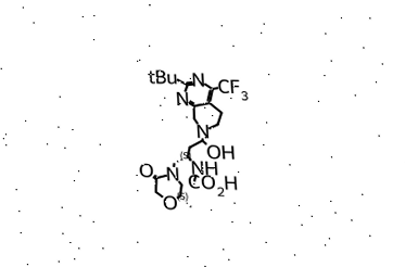 C[C@H]1CN(C[C@H](CC(O)N2CCc3c(nc(C(C)(C)C)nc3C(F)(F)F)C2)NC(=O)O)C(=O)CO1